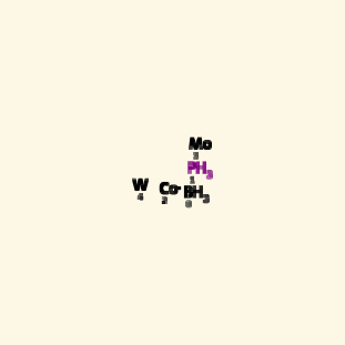 B.P.[Co].[Mo].[W]